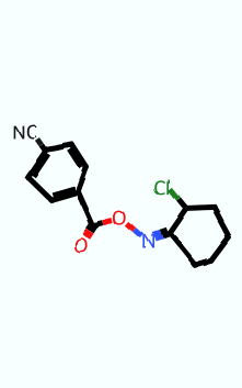 N#Cc1ccc(C(=O)ON=C2CCCCC2Cl)cc1